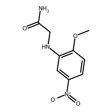 COc1ccc([N+](=O)[O-])cc1NCC(N)=O